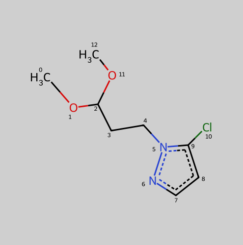 COC(CCn1nccc1Cl)OC